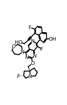 OCC#Cc1c(F)ccc2cc(O)cc(-c3ncc4c(N5CCCOCC5)nc(OC[C@@]56CCCN5C[C@H](F)C6)nc4c3F)c12